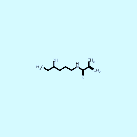 C=C(C)C(=O)NCCCC(O)CC